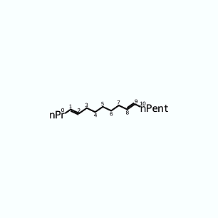 [CH2]CC/C=C/CCCCC/C=C/CCCCC